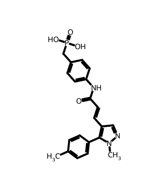 Cc1ccc(-c2c(C=CC(=O)Nc3ccc(CP(=O)(O)O)cc3)cnn2C)cc1